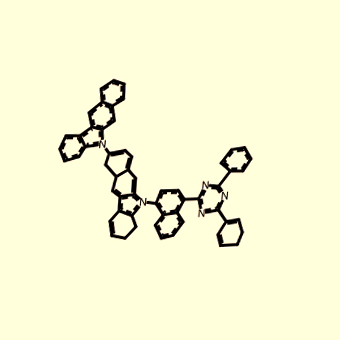 C1=CC(c2nc(-c3ccccc3)nc(-c3ccc(-n4c5c(c6c4=CC4=CC=C(n7c8ccccc8c8cc9ccccc9cc87)CC4C=6)C=CCC5)c4ccccc34)n2)=CCC1